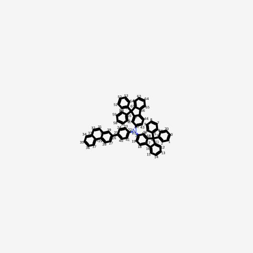 c1ccc(C2(c3ccccc3)c3ccccc3-c3ccc(N(c4ccc(-c5ccc6c(ccc7ccccc76)c5)cc4)c4ccc5c(c4)C(c4ccccc4)(c4ccccc4)c4ccccc4-5)cc32)cc1